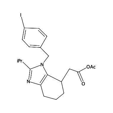 CC(=O)OC(=O)CC1CCCc2nc(C(C)C)n(Cc3ccc(I)cc3)c21